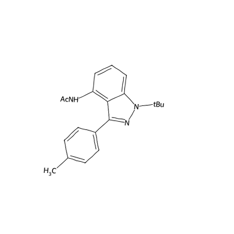 CC(=O)Nc1cccc2c1c(-c1ccc(C)cc1)nn2C(C)(C)C